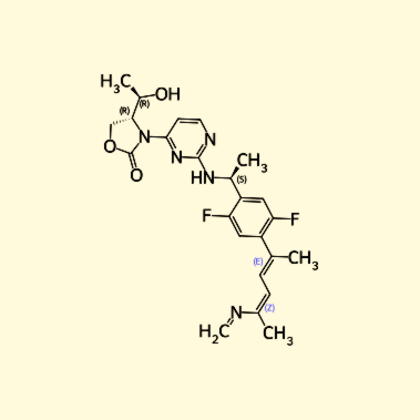 C=N/C(C)=C\C=C(/C)c1cc(F)c([C@H](C)Nc2nccc(N3C(=O)OC[C@@H]3[C@@H](C)O)n2)cc1F